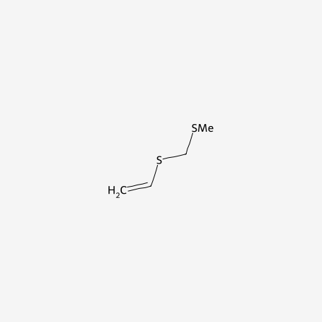 C=CSCSC